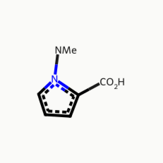 CNn1cccc1C(=O)O